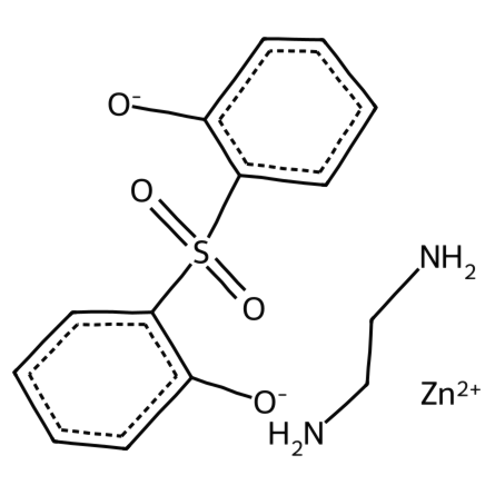 NCCN.O=S(=O)(c1ccccc1[O-])c1ccccc1[O-].[Zn+2]